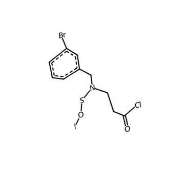 O=C(Cl)CCN(Cc1cccc(Br)c1)SOI